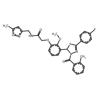 COc1c(OCC(=O)NCc2cc(C)on2)cccc1C1SC(c2ccc(F)cc2)=NN1C(=O)c1ccccc1C